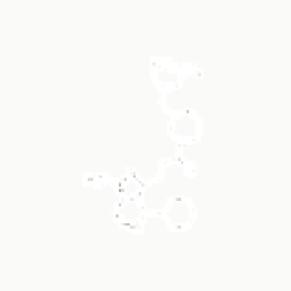 CCN(CC)CC1CCCN(C(=O)CCc2nn(N)c3ccnc(C4CCCCC4)c23)C1